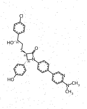 CN(C)c1ccc(-c2ccc(N3C(=O)[C@H](SC[C@H](O)c4ccc(Cl)cc4)[C@H]3c3ccc(O)cc3)cc2)cn1